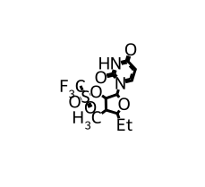 CCC1OC(n2ccc(=O)[nH]c2=O)C(OS(=O)(=O)C(F)(F)F)C1C